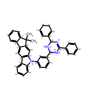 CC1(C)c2ccccc2-c2cc3c4ccccc4n(-c4cccc(C5NC(c6ccccc6)=NC(C6=CCCC=C6)N5)c4)c3cc21